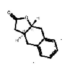 O=C1C[C@@H]2Cc3ccccc3C[C@H]2O1